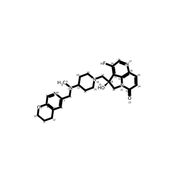 CN(Cc1cc2c(cn1)OCCC2)C1CCN(C[C@@]2(O)Cn3c(=O)ccc4ncc(F)c2c43)CC1